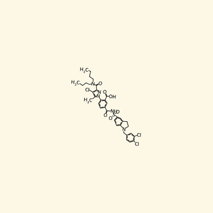 CCCCN(CCCC)C(=O)c1nn(-c2ccc(C(=O)NS(=O)(=O)c3ccc4c(c3)CCN4Cc3ccc(Cl)c(Cl)c3)cc2C(=O)O)c(C)c1Cl